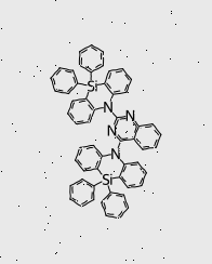 c1ccc([Si]2(c3ccccc3)c3ccccc3N(c3nc(N4c5ccccc5[Si](c5ccccc5)(c5ccccc5)c5ccccc54)c4ccccc4n3)c3ccccc32)cc1